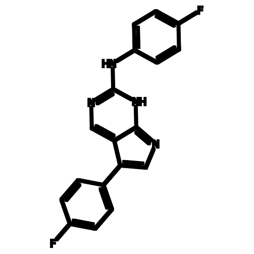 Fc1ccc(Nc2ncc3c(-c4ccc(F)cc4)cnc-3[nH]2)cc1